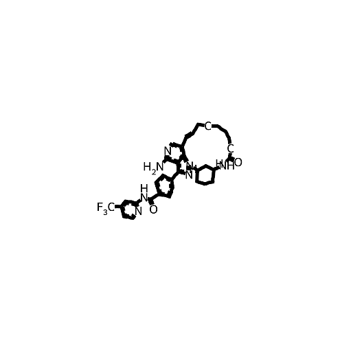 Nc1ncc2c3c1c(-c1ccc(C(=O)Nc4cc(C(F)(F)F)ccn4)cc1)nn3[C@@H]1CCC[C@H](C1)NC(=O)CCCCCC/C=C/2